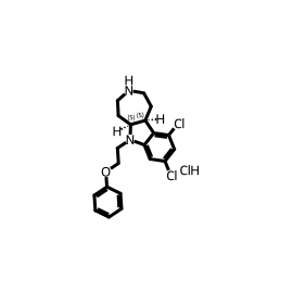 Cl.Clc1cc(Cl)c2c(c1)N(CCOc1ccccc1)[C@H]1CCNCC[C@@H]21